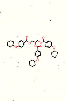 O=C(OCC(COC(=O)c1ccc(OC2CCCCC2)cc1)OC(=O)c1ccc(OC2CCCCC2)cc1)c1ccc(OC2CCCCC2)cc1